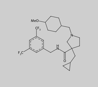 COC1CCC(CN2CCC(CC3CC3)(C(=O)NCc3cc(C(F)(F)F)cc(C(F)(F)F)c3)C2)CC1